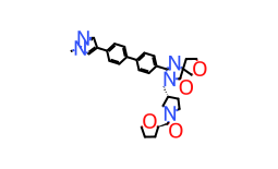 Cn1cc(-c2ccc(-c3ccc(C4=NC5(CCOC5)C(=O)N4C[C@@H]4CCN(C(=O)[C@H]5CCCO5)C4)cc3)cc2)cn1